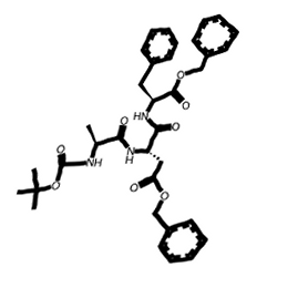 C[C@H](NC(=O)OC(C)(C)C)C(=O)N[C@@H](CC(=O)OCc1ccccc1)C(=O)N[C@@H](Cc1ccccc1)C(=O)OCc1ccccc1